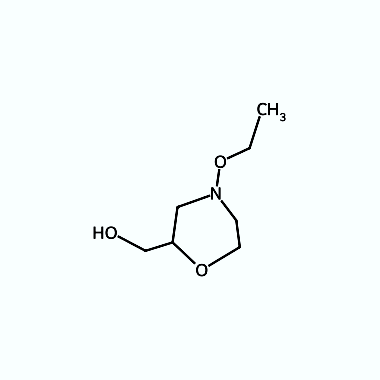 CCON1CCOC(CO)C1